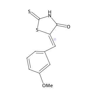 COc1cccc(/C=C2\SC(=S)NC2=O)c1